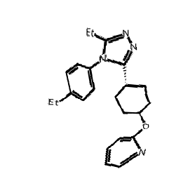 CCc1ccc(-n2c(CC)nnc2[C@H]2CC[C@H](Oc3ccccn3)CC2)cc1